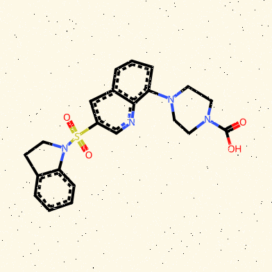 O=C(O)N1CCN(c2cccc3cc(S(=O)(=O)N4CCc5ccccc54)cnc23)CC1